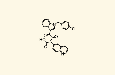 O=C(C(=O)N(C(=O)O)c1ccc2ncccc2c1)c1cn(Cc2ccc(Cl)cc2)c2ccccc12